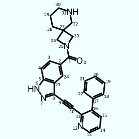 O=C(c1ccc2[nH]nc(C#Cc3ncccc3-c3ccccc3)c2c1)N1CC2(CCCNC2)C1